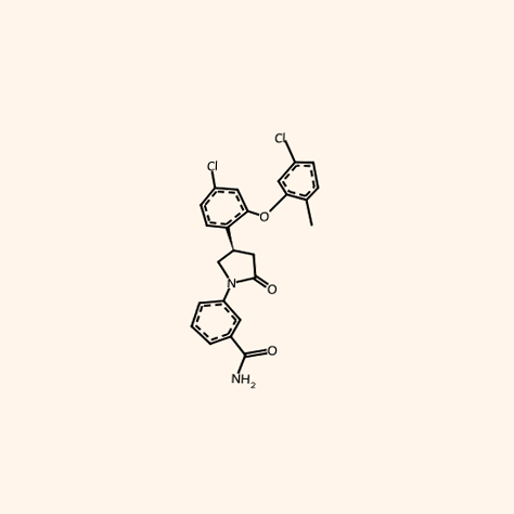 Cc1ccc(Cl)cc1Oc1cc(Cl)ccc1[C@H]1CC(=O)N(c2cccc(C(N)=O)c2)C1